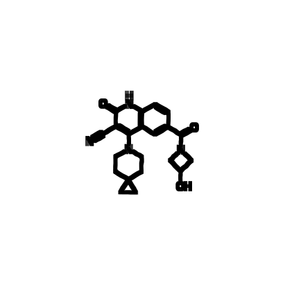 N#Cc1c(N2CCC3(CC2)CC3)c2cc(C(=O)N3CC(O)C3)ccc2[nH]c1=O